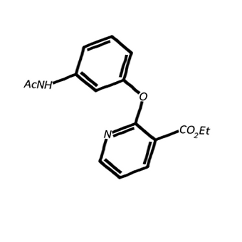 CCOC(=O)c1cccnc1Oc1cccc(NC(C)=O)c1